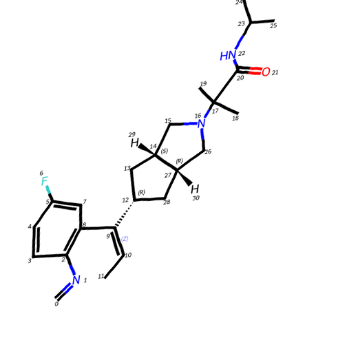 C=Nc1ccc(F)cc1/C(=C\C)[C@@H]1C[C@@H]2CN(C(C)(C)C(=O)NC(C)C)C[C@@H]2C1